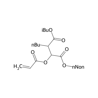 C=CC(=O)OC(C(=O)OCCCCCCCCC)C(CCCC)C(=O)OCC(C)C